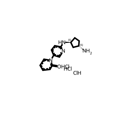 Cl.Cl.Cl.N[C@H]1CC[C@H](Nc2ccc(-n3ccccc3=O)cn2)C1